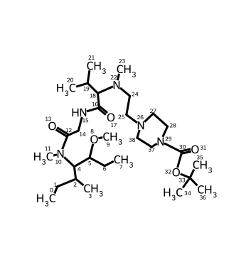 CCC(C)C(C(CC)OC)N(C)C(=O)CNC(=O)C(C(C)C)N(C)CCN1CCN(C(=O)OC(C)(C)C)CC1